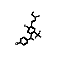 CCN(C)C=Nc1cc(C(F)(F)F)c(N(C)c2ccc(Cl)cc2)cc1F